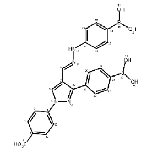 O=C(O)c1ccc(-n2cc(/C=N/Nc3ccc(B(O)O)cc3)c(-c3ccc(B(O)O)cc3)n2)cc1